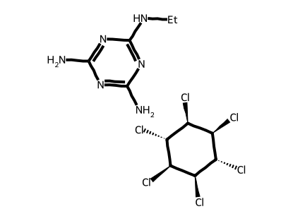 CCNc1nc(N)nc(N)n1.Cl[C@H]1[C@H](Cl)[C@@H](Cl)[C@@H](Cl)[C@H](Cl)[C@H]1Cl